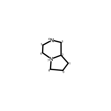 C1CC2C[N]CCN2C1